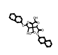 C=C(C(=O)O)C(C(=O)O)(C(C)C(=O)Oc1ccc2ccccc2c1)C(C)C(=O)Oc1ccc2ccccc2c1